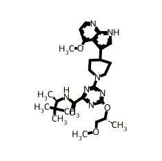 COC[C@@H](C)Oc1nc(C(=O)N[C@H](C)C(C)(C)C)nc(N2CCC(c3c[nH]c4nccc(OC)c34)CC2)n1